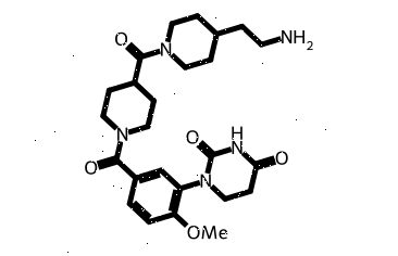 COc1ccc(C(=O)N2CCC(C(=O)N3CCC(CCN)CC3)CC2)cc1N1CCC(=O)NC1=O